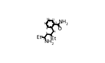 CCC(N)CC(CC)Cc1ccccc1C(N)=O